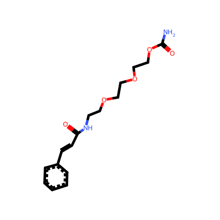 NC(=O)OCCOCCOCCNC(=O)C=Cc1ccccc1